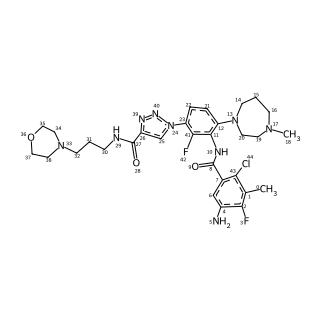 Cc1c(F)c(N)cc(C(=O)Nc2c(N3CCCN(C)CC3)ccc(-n3cc(C(=O)NCCCN4CCOCC4)nn3)c2F)c1Cl